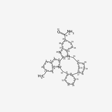 Cc1ccc2cc3n(c2c1)Cc1ccccc1-c1cccc(c1)Cn1c-3nc2cc(C(N)=O)ccc21